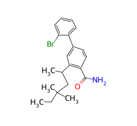 CCC(C)(C)CC(C)c1cc(-c2ccccc2Br)ccc1C(N)=O